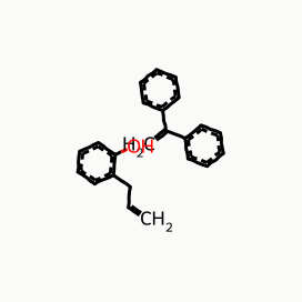 C=C(c1ccccc1)c1ccccc1.C=CCc1ccccc1O